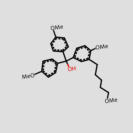 COCCCCCc1cc(C(O)(c2ccc(OC)cc2)c2ccc(OC)cc2)ccc1OC